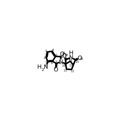 Nc1cccc2c1C(=O)N(C13CCC(C1)C(=O)NC3=O)C2=O